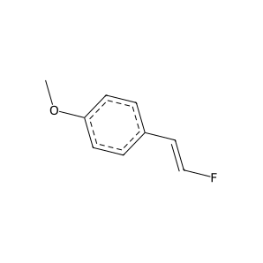 COc1ccc(C=CF)cc1